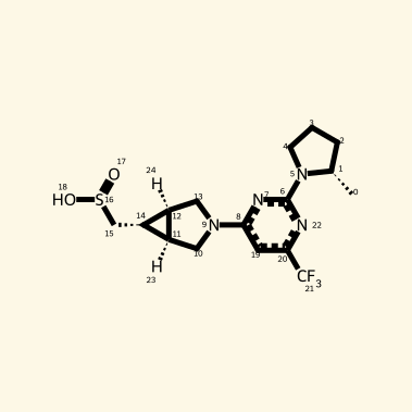 C[C@H]1CCCN1c1nc(N2C[C@@H]3[C@H](C2)[C@H]3CS(=O)O)cc(C(F)(F)F)n1